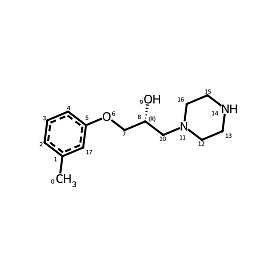 Cc1cccc(OC[C@H](O)CN2CCNCC2)c1